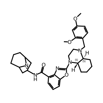 COc1ccc(CN2CCN(c3nc4c(C(=O)NC5CC6CCCC(C5)N6C)cccc4o3)[C@H]3CCCC[C@@H]32)c(OC)c1